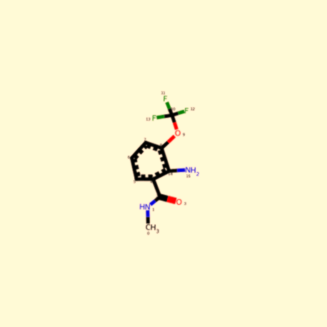 CNC(=O)c1cccc(OC(F)(F)F)c1N